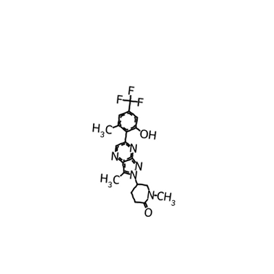 Cc1cc(C(F)(F)F)cc(O)c1-c1cnc2c(C)n(C3CCC(=O)N(C)C3)nc2n1